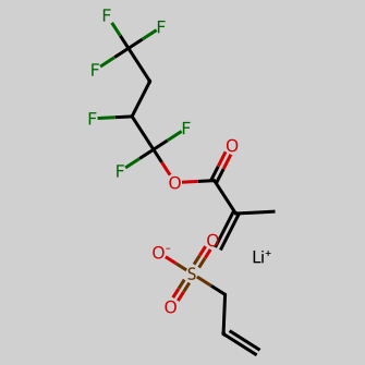 C=C(C)C(=O)OC(F)(F)C(F)CC(F)(F)F.C=CCS(=O)(=O)[O-].[Li+]